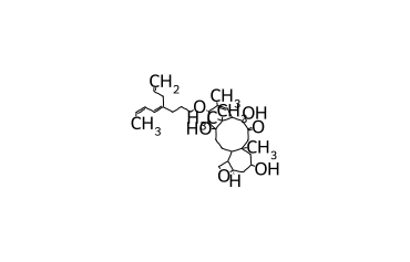 C=CC/C(=C\C=C/C)CCCO[C@H]1CC2(O)CCC3C4CO[C@@H]4CC(O)CC3(C)CC(=O)C(O)C(C=C1C)C2(C)C